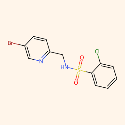 O=S(=O)(NCc1ccc(Br)cn1)c1ccccc1Cl